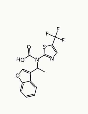 CC(c1coc2ccccc12)N(C(=O)O)c1ncc(C(F)(F)F)s1